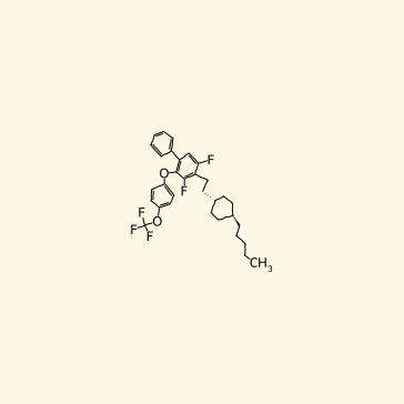 CCCCC[C@H]1CC[C@H](CCc2c(F)cc(-c3ccccc3)c(Oc3ccc(OC(F)(F)F)cc3)c2F)CC1